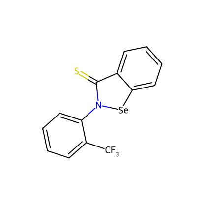 FC(F)(F)c1ccccc1-n1[se]c2ccccc2c1=S